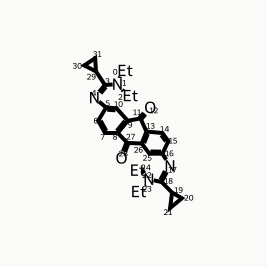 CCN(CC)C(=Nc1ccc2c(c1)C(=O)c1ccc(N=C(C3CC3)N(CC)CC)cc1C2=O)C1CC1